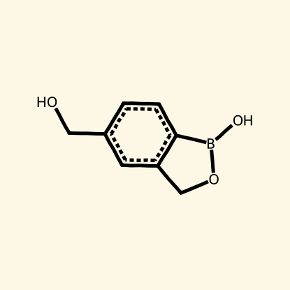 OCc1ccc2c(c1)COB2O